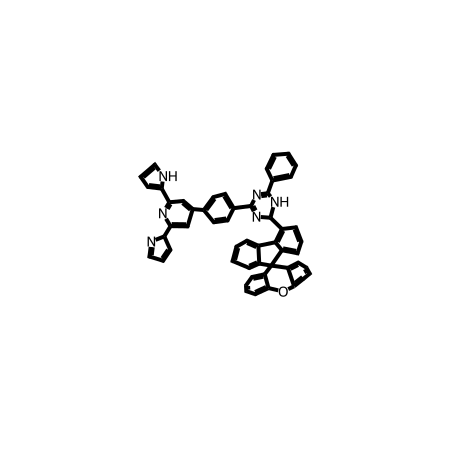 C1=CC(c2cc(-c3ccc(C4=NC(c5cccc6c5-c5ccccc5C65c6ccccc6Oc6ccccc65)NC(c5ccccc5)=N4)cc3)cc(-c3ccc[nH]3)n2)N=C1